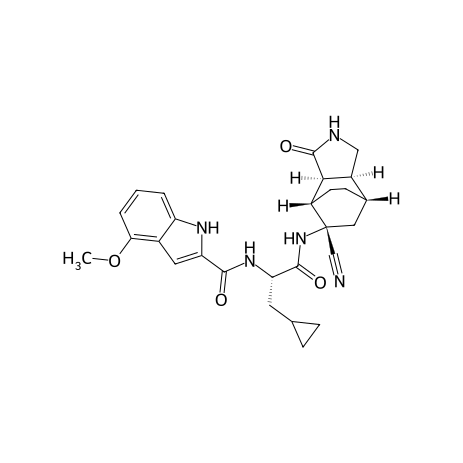 COc1cccc2[nH]c(C(=O)N[C@@H](CC3CC3)C(=O)N[C@@]3(C#N)C[C@@H]4CC[C@H]3[C@H]3C(=O)NC[C@@H]43)cc12